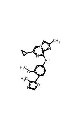 COc1cc(Nc2nc(C3CC3)cn3cc(C)nc23)ccc1-c1ocnc1C